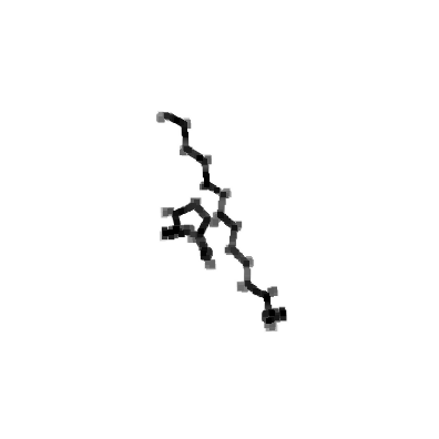 CCCCCCCCCCCCO.O=C1CCCN1